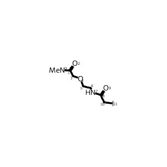 CNC(=O)COCCNC(=O)CI